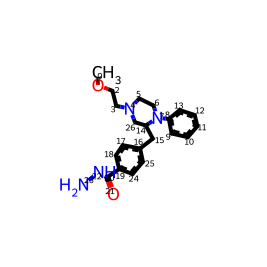 COCCN1CCN(c2ccccc2)C(Cc2ccc(C(=O)NN)cc2)C1